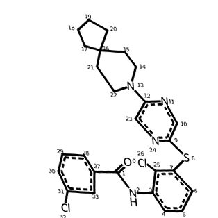 O=C(Nc1cccc(Sc2cnc(N3CCC4(CCCC4)CC3)cn2)c1Cl)c1cccc(Cl)c1